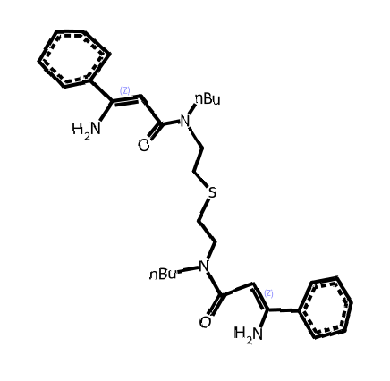 CCCCN(CCSCCN(CCCC)C(=O)/C=C(\N)c1ccccc1)C(=O)/C=C(\N)c1ccccc1